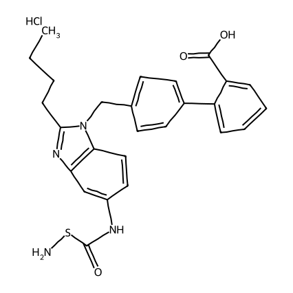 CCCCc1nc2cc(NC(=O)SN)ccc2n1Cc1ccc(-c2ccccc2C(=O)O)cc1.Cl